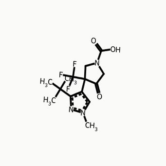 Cn1cc(C2(C(F)(F)F)CN(C(=O)O)CC2=O)c(C(C)(C)C)n1